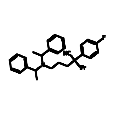 CC(c1ccccc1)N(CCCC(C#N)(c1ccc(F)cc1)C(C)C)C(C)c1ccccc1